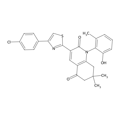 Cc1cccc(O)c1-n1c2c(cc(-c3nc(-c4ccc(Cl)cc4)cs3)c1=O)C(=O)CC(C)(C)C2